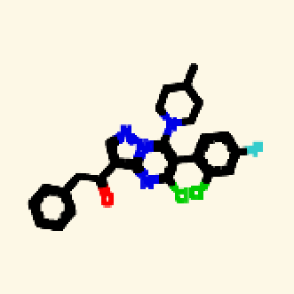 CC1CCN(c2c(-c3ccc(F)cc3Cl)c(Cl)nc3c(C(=O)Cc4ccccc4)cnn23)CC1